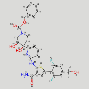 CC(C)(O)c1cc(F)c(-c2cc(C(N)=O)c(Nc3cccc([C@@]4(O)CCN(C(=O)OCc5ccccc5)C[C@@H]4O)n3)s2)c(F)c1